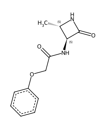 C[C@@H]1NC(=O)[C@H]1NC(=O)COc1ccccc1